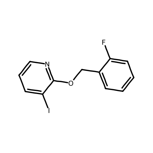 Fc1ccccc1COc1ncccc1I